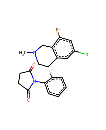 CN1Cc2c(Br)cc(Cl)cc2[C@H](c2ccccc2N2C(=O)CCC2=O)C1